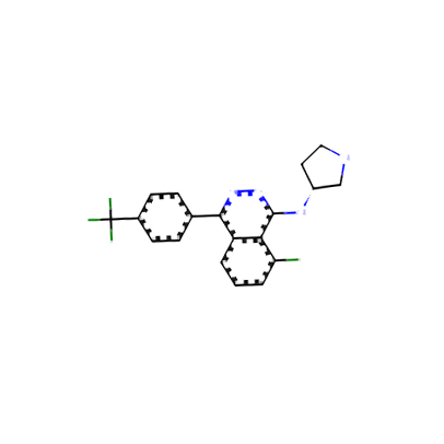 Fc1cccc2c(-c3ccc(C(F)(F)F)cc3)nnc(N[C@H]3CCNC3)c12